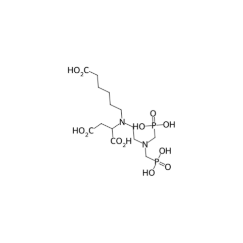 O=C(O)CCCCCN(CCN(CP(=O)(O)O)CP(=O)(O)O)C(CC(=O)O)C(=O)O